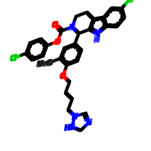 COc1cc(C2c3[nH]c4ccc(Cl)cc4c3CCN2C(=O)Oc2ccc(Cl)cc2)ccc1OCCCCN1C=NCN1